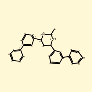 CC1NC(c2cccc(-c3ccccc3)c2)CC(c2cccc(-c3ccccc3)c2)N1